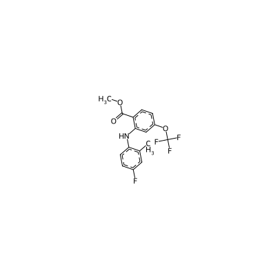 COC(=O)c1ccc(OC(F)(F)F)cc1Nc1ccc(F)cc1C